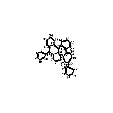 c1ccc(-c2c3ccccc3c(-c3cccc4oc5cc6c(cc5c34)oc3ccccc36)c3ccccc23)cc1